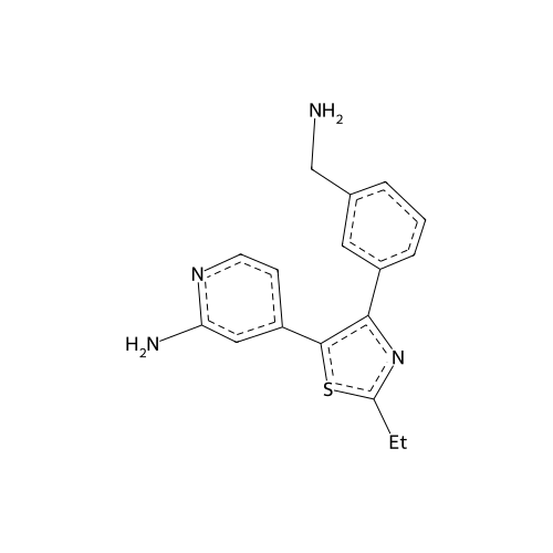 CCc1nc(-c2cccc(CN)c2)c(-c2ccnc(N)c2)s1